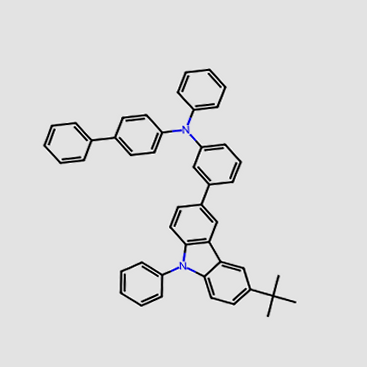 CC(C)(C)c1ccc2c(c1)c1cc(-c3cccc(N(c4ccccc4)c4ccc(-c5ccccc5)cc4)c3)ccc1n2-c1ccccc1